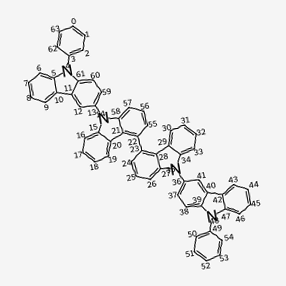 c1ccc(-n2c3ccccc3c3cc(-n4c5ccccc5c5c(-c6cccc7c6c6ccccc6n7-c6ccc7c(c6)c6ccccc6n7-c6ccccc6)cccc54)ccc32)cc1